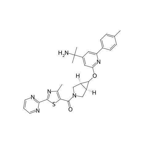 Cc1ccc(-c2cc(C(C)(C)N)cc(OC3[C@H]4CN(C(=O)c5sc(-c6ncccn6)nc5C)C[C@@H]34)n2)cc1